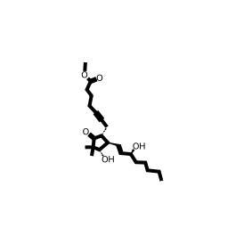 CCCCC[C@H](O)C=C[C@@H]1[C@@H](CC#CCCCC(=O)OC)C(=O)C(C)(C)[C@H]1O